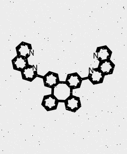 c1ccc2c(c1)-c1ccccc1-c1cc(-c3ccc4ccc5cccnc5c4n3)ccc1-c1ccc(-c3ccc4ccc5cccnc5c4n3)cc1-2